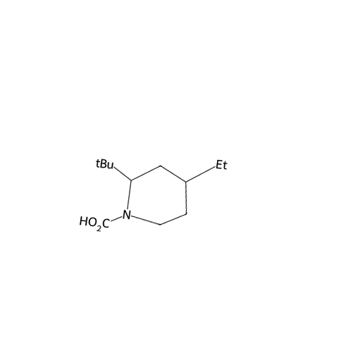 CCC1CCN(C(=O)O)C(C(C)(C)C)C1